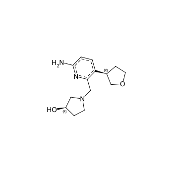 Nc1ccc([C@H]2CCOC2)c(CN2CC[C@@H](O)C2)n1